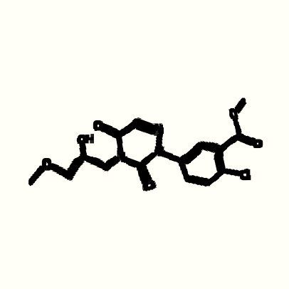 COCC(O)Cn1c(=O)cnn(-c2ccc(Cl)c(C(=O)OC)c2)c1=O